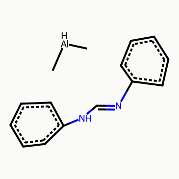 C(=N\c1ccccc1)/Nc1ccccc1.[CH3][AlH][CH3]